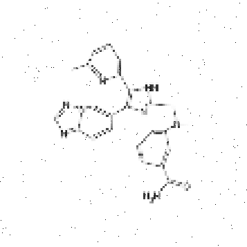 Cc1cccc(-c2[nH]c(CN(C)c3cccc(C(N)=O)c3)nc2-c2ccc3ncnn3c2)n1